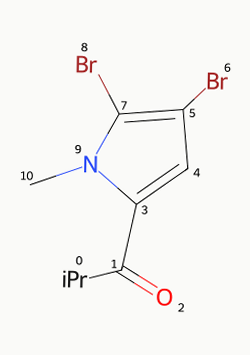 CC(C)C(=O)c1cc(Br)c(Br)n1C